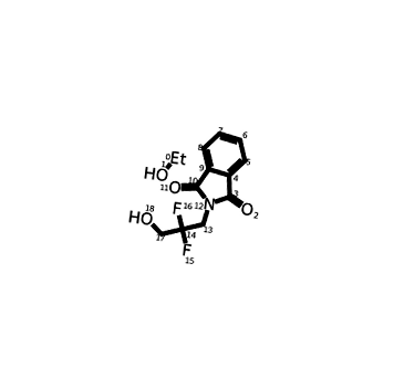 CCO.O=C1c2ccccc2C(=O)N1CC(F)(F)CO